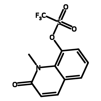 Cn1c(=O)ccc2cccc(OS(=O)(=O)C(F)(F)F)c21